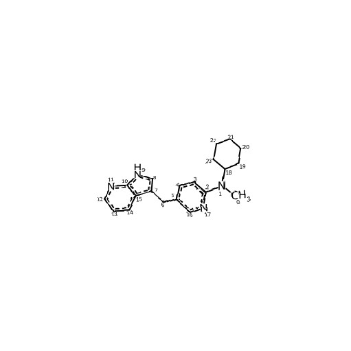 CN(c1ccc(Cc2c[nH]c3ncccc23)cn1)C1CCCCC1